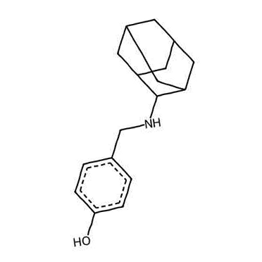 Oc1ccc(CNC2C3CC4CC(C3)CC2C4)cc1